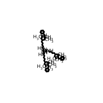 CC1(C)CC(CCCCNc2nc(NCCCCC3CC(C)(C)N(Cc4ccccc4)C(C)(C)C3)nc(NCCCCC3CC(C)(C)N(Cc4ccccc4)C(C)(C)C3)n2)CC(C)(C)N1Cc1ccccc1